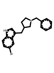 Brc1ccc2[nH]cc(CC3CCN(Cc4ccccc4)C3)c2c1